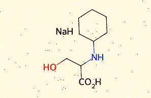 O=C(O)C(CO)NC1CCCCC1.[NaH]